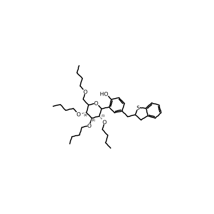 CCCCOCC1OC(c2cc(CC3Cc4ccccc4S3)ccc2O)[C@H](OCCCC)[C@@H](OCCCC)[C@@H]1OCCCC